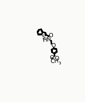 COC(=O)c1ccc(OCCNC(=O)c2cc3ccccc3s2)cc1